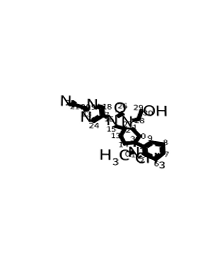 CN(C)[C@]1(c2ccccc2)CC[C@@]2(CC1)CN(c1cnc(C#N)nc1)C(=O)N2CCO